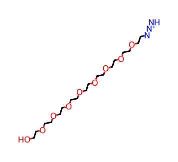 N=[N+]=NCCOCCOCCOCCOCCOCCOCCOCCOCCO